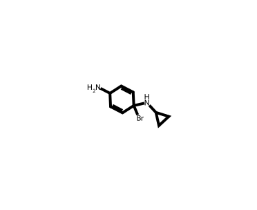 NC1C=CC(Br)(NC2CC2)C=C1